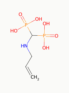 C=CCNC(P(=O)(O)O)P(=O)(O)O